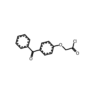 O=C(Cl)COc1ccc(C(=O)c2ccccc2)cc1